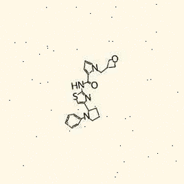 O=C(Nc1nc(C2CCCN2c2ccccc2)cs1)c1cccn1CC1COC1